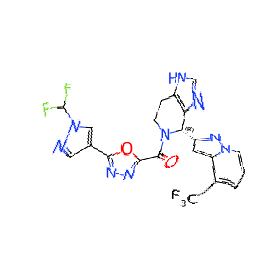 O=C(c1nnc(-c2cnn(C(F)F)c2)o1)N1CCc2[nH]cnc2[C@@H]1c1cc2c(C(F)(F)F)cccn2n1